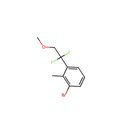 COCC(F)(F)c1cccc(Br)c1C